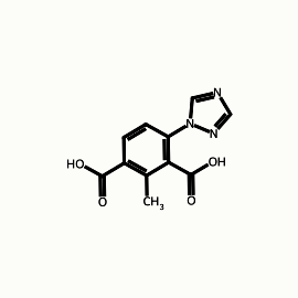 Cc1c(C(=O)O)ccc(-n2cncn2)c1C(=O)O